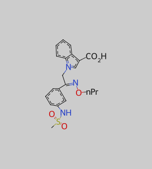 CCCON=C(Cn1cc(C(=O)O)c2ccccc21)c1cccc(NS(C)(=O)=O)c1